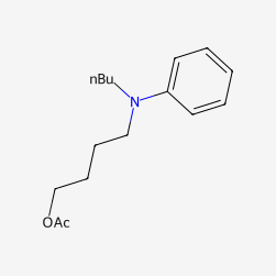 CCCCN(CCCCOC(C)=O)c1ccccc1